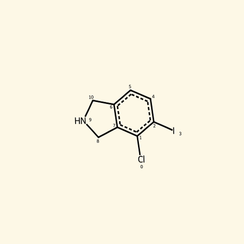 Clc1c(I)ccc2c1CNC2